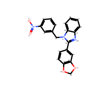 O=[N+]([O-])c1cccc(Cn2c(-c3ccc4c(c3)OCO4)nc3ccccc32)c1